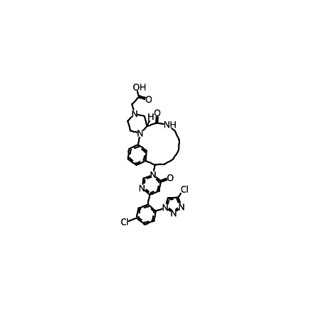 O=C(O)CN1CCN2c3cccc(c3)C(n3cnc(-c4cc(Cl)ccc4-n4cc(Cl)nn4)cc3=O)CCCCCNC(=O)[C@H]2C1